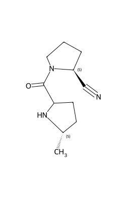 C[C@H]1CCC(C(=O)N2CCC[C@H]2C#N)N1